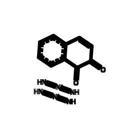 N=[N+]=N.N=[N+]=N.O=C1C=Cc2ccccc2C1=O